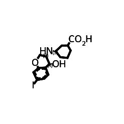 O=C(O)C1CCC[C@H](N[C@H]2COc3cc(I)ccc3[C@H]2O)C1